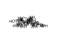 Cn1c(=O)c(C(=O)c2cccc(S(=O)(=O)O)c2)c2c3c(c(Nc4cc(Nc5nc(N)nc(NC6CCC(CC7CCC(Nc8nc(N)nc(Nc9cc(Nc%10ccc%11c%12c%10C(=O)c%10ccccc%10-c%12c(C(=O)c%10cccc(SOOO)c%10)c(=O)n%11C)c(S(=O)(=O)O)cc9SOOO)n8)CC7)CC6)n5)c(S(=O)(=O)O)cc4SOOO)ccc31)C(=O)c1ccccc1-2